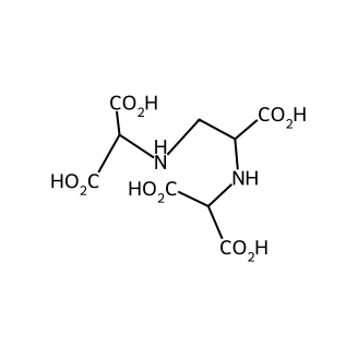 O=C(O)C(CNC(C(=O)O)C(=O)O)NC(C(=O)O)C(=O)O